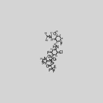 COc1ccc(F)c(CNc2cc(F)c(S(=O)(=O)N(OC(=O)C(F)(F)F)c3cscn3)cc2Cl)c1CN(C)C(C)C